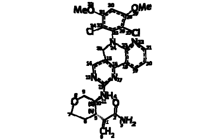 C=C(C(N)=O)[C@@H]1CCOC[C@H]1Nc1ncc2c(n1)-c1cccnc1N(c1c(Cl)c(OC)cc(OC)c1Cl)C2